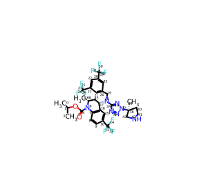 CC(C)OC(=O)N1c2ccc(C(F)(F)F)cc2[C@@H](N(Cc2cc(C(F)(F)F)cc(C(F)(F)F)c2)c2nnn([C@@]3(C)CCNC3)n2)C[C@H]1C